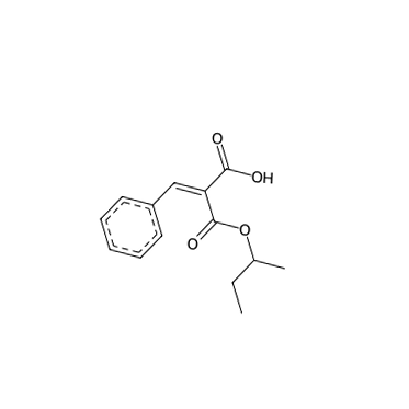 CCC(C)OC(=O)C(=Cc1ccccc1)C(=O)O